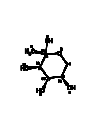 C[C@@]1(O)OC[C@@H](O)[C@H](O)[C@H]1O